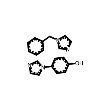 Oc1ccc(-n2ccnc2)cc1.c1ccc(Cn2ccnc2)cc1